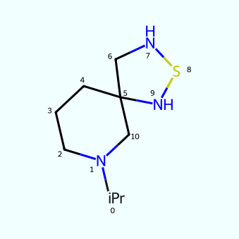 CC(C)N1CCCC2(CNSN2)C1